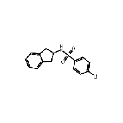 O=S(=O)(NC1Cc2ccccc2C1)c1ccc(Cl)cc1